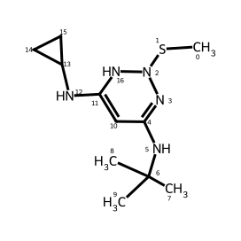 CSN1N=C(NC(C)(C)C)C=C(NC2CC2)N1